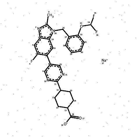 Cc1nc2cc(F)c(-c3cnc(C4CCC(C(=O)[O-])CC4)nc3)cc2n1Cc1ccccc1OC(F)F.[Na+]